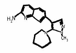 Cn1ncc(-c2ccc3ccc(N)nc3c2)c1N1CCCCC1